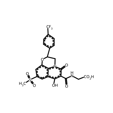 CS(=O)(=O)c1cc2c3c(c1)c(O)c(C(=O)NCC(=O)O)c(=O)n3CC(c1ccc(C(F)(F)F)cc1)O2